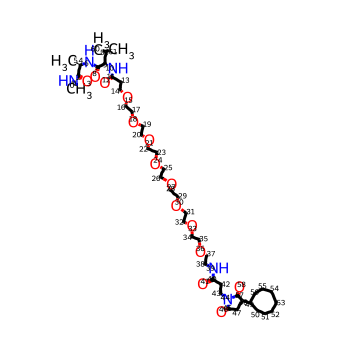 CNC(=O)[C@H](C)NC(=O)[C@@H](NC(=O)CCOCCOCCOCCOCCOCCOCCOCCOCCNC(=O)CCN1C(=O)CC(C2CCCCCCC2)C1=O)C(C)C